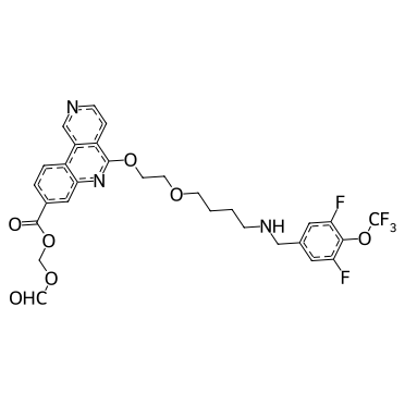 O=COCOC(=O)c1ccc2c(c1)nc(OCCOCCCCNCc1cc(F)c(OC(F)(F)F)c(F)c1)c1ccncc12